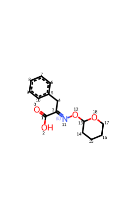 O=C(O)/C(Cc1ccccc1)=N/OC1CCCCO1